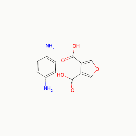 Nc1ccc(N)cc1.O=C(O)c1cocc1C(=O)O